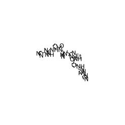 CCC(NC(=O)c1cccc(NCc2nnc(-c3ccncn3)n2C)c1)c1ncc(C(C)n2cnnc2CNC(=O)c2cccc(NCc3nnc(-c4ccncn4)n3C)c2)cn1